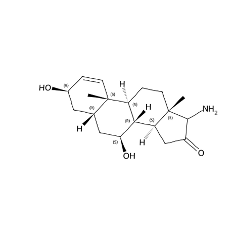 C[C@]12C=C[C@H](O)C[C@H]1C[C@H](O)[C@@H]1[C@@H]2CC[C@]2(C)C(N)C(=O)C[C@@H]12